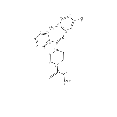 CCCCCCCCOC(=O)N1CCN(C2=Nc3cc(Cl)ccc3Nc3ccccc32)CC1